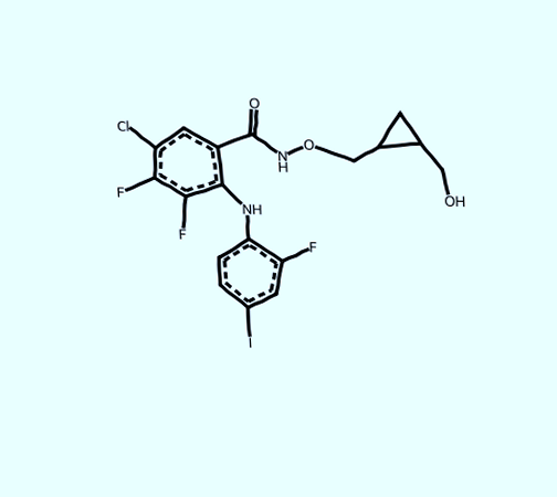 O=C(NOCC1CC1CO)c1cc(Cl)c(F)c(F)c1Nc1ccc(I)cc1F